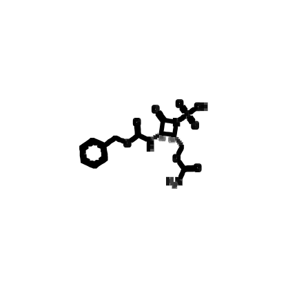 NC(=O)OC[C@@H]1[C@H](NC(=O)OCc2ccccc2)C(=O)N1S(=O)(=O)O